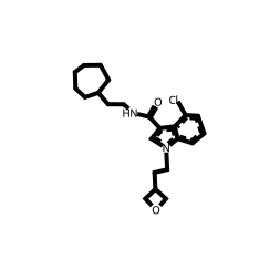 O=C(NCCC1CCCCCC1)c1cn(CCC2COC2)c2cccc(Cl)c12